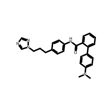 CN(C)c1ccc(-c2ccccc2C(=O)Nc2ccc(CCCn3cncn3)cc2)cc1